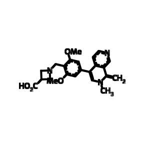 C=C1c2cnccc2C(c2cc(OC)c(CN3CC(C(=O)O)C3)c(OC)c2)=CN1C